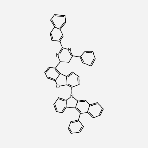 c1ccc(C2=NC(c3ccc4ccccc4c3)=NC(c3cccc4oc5c(-n6c7ccccc7c7c(-c8ccccc8)c8ccccc8cc76)cccc5c34)C2)cc1